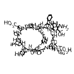 CCC[C@@H]1NC(=O)[C@H](CCC(=O)O)NC(=O)CNC(=O)[C@H](CC(C)C)NC(=O)[C@H](Cc2c[nH]cn2)NC(=O)[C@@H]2CCc3cn(nn3)CCCC[C@H](NC1=O)C(=O)N[C@@H](Cc1c[nH]c3ccccc13)C(=O)N[C@H](C(=O)N[C@H](C(N)=O)[C@@H](C)O)CSSC[C@H](NC(=O)[C@H](CC(=O)O)NC(C)(C)C)C(=O)N[C@@H](C)C(=O)N2